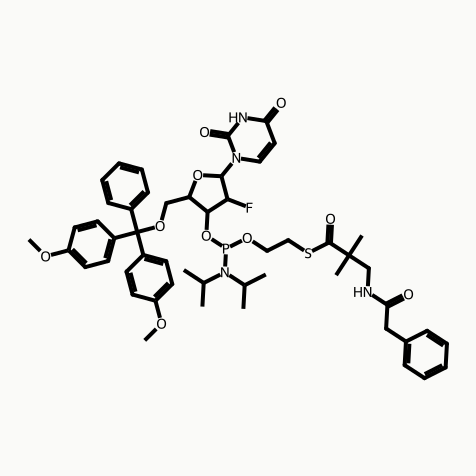 COc1ccc(C(OCC2OC(n3ccc(=O)[nH]c3=O)C(F)C2OP(OCCSC(=O)C(C)(C)CNC(=O)Cc2ccccc2)N(C(C)C)C(C)C)(c2ccccc2)c2ccc(OC)cc2)cc1